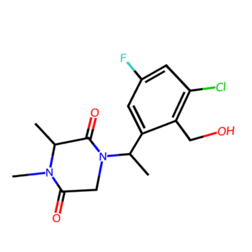 CC1C(=O)N(C(C)c2cc(F)cc(Cl)c2CO)CC(=O)N1C